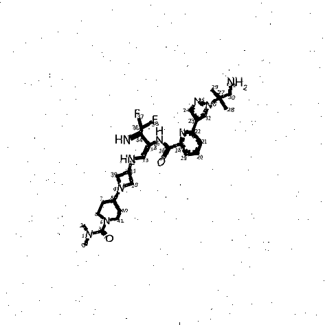 CN(C)C(=O)N1CCC(N2CC(N/C=C(/NC(=O)c3cccc(-c4cnn(C(C)(C)CN)c4)n3)C(=N)C(F)F)C2)CC1